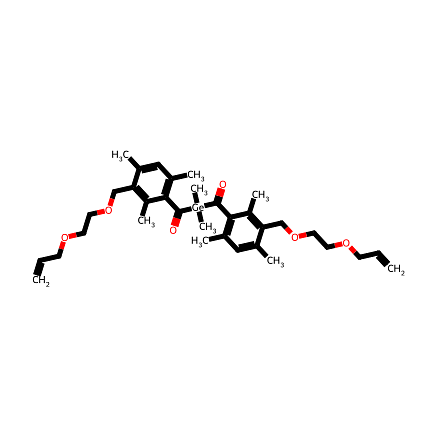 C=CCOCCOCc1c(C)cc(C)c([C](=O)[Ge]([CH3])([CH3])[C](=O)c2c(C)cc(C)c(COCCOCC=C)c2C)c1C